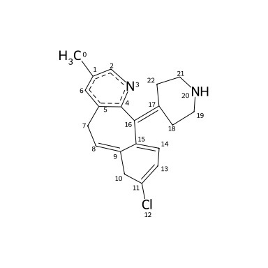 Cc1cnc2c(c1)CC=C1CC(Cl)=CC=C1C2=C1CCNCC1